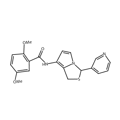 COc1ccc(OC)c(C(=O)Nc2ccn3c2CSC3c2cccnc2)c1